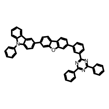 c1ccc(-c2nc(-c3ccccc3)nc(-c3cccc(-c4ccc5c(c4)oc4cc(-c6ccc7c(c6)c6ccccc6n7-c6ccccc6)ccc45)c3)n2)cc1